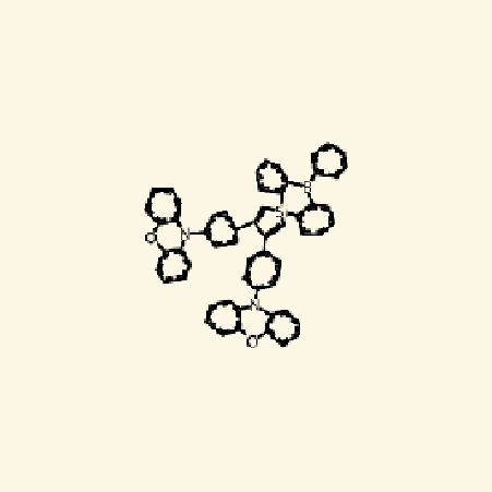 C1=C(c2ccc(N3c4ccccc4Oc4ccccc43)cc2)C(c2ccc(N3c4ccccc4Oc4ccccc43)cc2)=C[Si]12c1ccccc1B(c1ccccc1)c1ccccc12